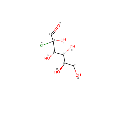 O=C[C@](O)(Cl)[C@@H](O)[C@H](O)[C@H](O)CO